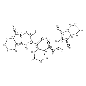 CC(CN1C(=O)C2CCCCC2C1=O)OC(=O)C1CCCCC1C(=O)OC(C)CN1C(=O)C2CCCCC2C1=O